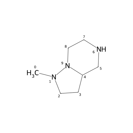 CN1CCC2CNCCN21